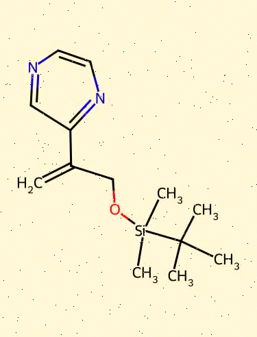 C=C(CO[Si](C)(C)C(C)(C)C)c1cnccn1